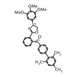 COc1cc([C@H]2COC(c3ccccc3[S@@+]([O-])c3ccc(-c4c(C)cc(C)cc4C)cc3)=N2)cc(OC)c1OC